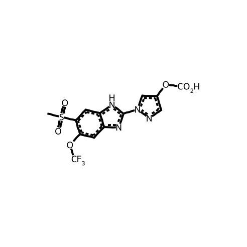 CS(=O)(=O)c1cc2[nH]c(-n3cc(OC(=O)O)cn3)nc2cc1OC(F)(F)F